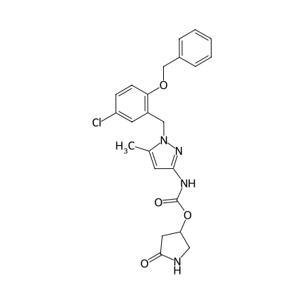 Cc1cc(NC(=O)OC2CNC(=O)C2)nn1Cc1cc(Cl)ccc1OCc1ccccc1